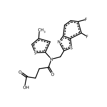 Cc1csc(N(Cc2nc3ccc(F)c(F)c3s2)C(=O)CCC(=O)O)c1